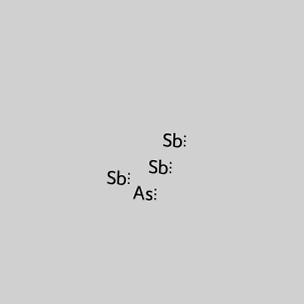 [As].[Sb].[Sb].[Sb]